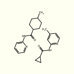 CC1CCC(C(=O)Nc2ccccn2)CC1.Cc1ccnc(NC(=O)C2CC2)c1